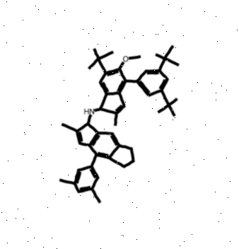 COc1c(C(C)(C)C)cc2c(c1-c1cc(C(C)(C)C)cc(C(C)(C)C)c1)C=C(C)C2NC1C(C)=Cc2c1cc1c(c2-c2cc(C)cc(C)c2)CCC1